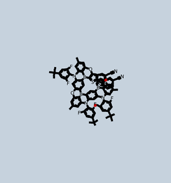 Cc1cc2c3c(c1)N(c1c(F)cc(C(C)(C)C)cc1F)c1cc4c(cc1B3c1cc3c(cc1O2)N(c1c(F)cc(C(C)(C)C)cc1F)c1cc(C)cc2c1B3c1sc3ccc(C#N)cc3c1O2)B1c2sc3ccc(C#N)cc3c2Oc2cc(C)cc(c21)N4c1c(F)cc(C(C)(C)C)cc1F